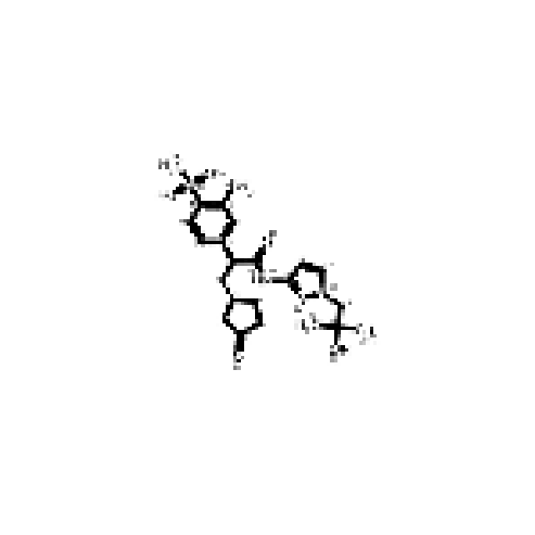 Cc1cc(C(C[C@H]2CCC(=O)C2)C(=O)Nc2ccn(CC(C)(C)O)n2)ccc1S(C)(=O)=O